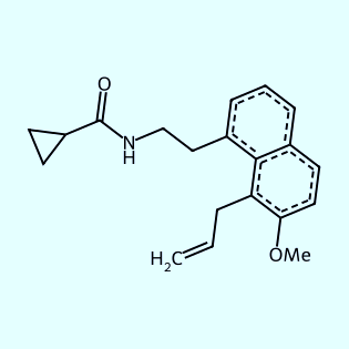 C=CCc1c(OC)ccc2cccc(CCNC(=O)C3CC3)c12